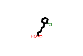 O=C(O)C=CC=Cc1ccccc1Cl